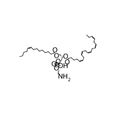 CC/C=C\C/C=C\C/C=C\C/C=C\C/C=C\CCCC(=O)O[C@H](COC(=O)CCCCCCC/C=C\CCCC)COP(=O)(O)OCCN